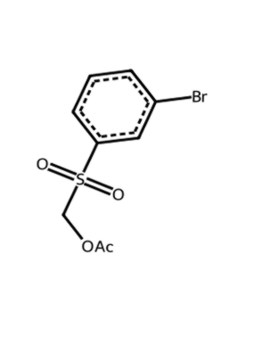 CC(=O)OCS(=O)(=O)c1cccc(Br)c1